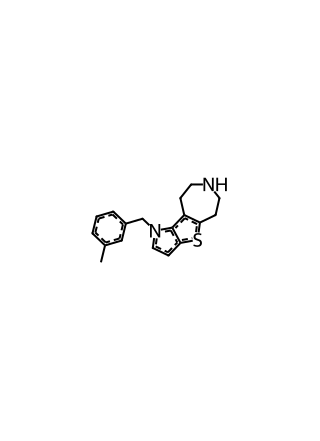 Cc1cccc(Cn2ccc3sc4c(c32)CCNCC4)c1